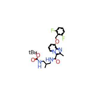 Cc1nc2c(OCc3c(F)cccc3F)cccn2c1C(=O)NCC(C)CNC(=O)OC(C)(C)C